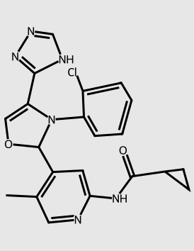 Cc1cnc(NC(=O)C2CC2)cc1C1OC=C(c2nnc[nH]2)N1c1ccccc1Cl